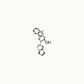 Oc1cc2oc3ccccc3c2cc1-c1ccc2ccccc2c1